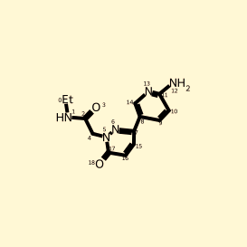 CCNC(=O)Cn1nc(-c2ccc(N)nc2)ccc1=O